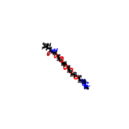 C[SiH](C)CCCC(=O)NCCOCCOCCOCCOCCOCCN=[N+]=[N-]